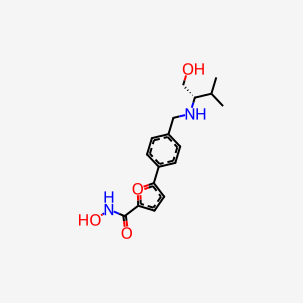 CC(C)[C@@H](CO)NCc1ccc(-c2ccc(C(=O)NO)o2)cc1